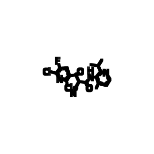 Cc1ccnc(C(C)C)c1NC(=O)C(C#N)C(=O)c1cc(F)c(Cl)nc1Cl